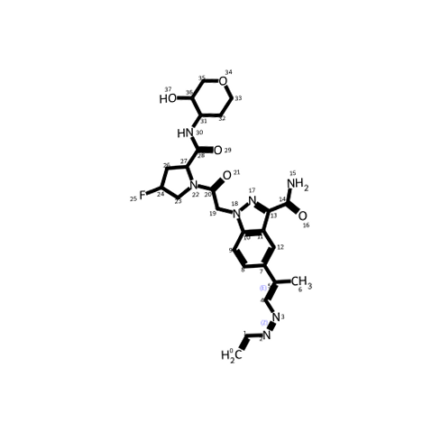 C=C/N=N\C=C(/C)c1ccc2c(c1)c(C(N)=O)nn2CC(=O)N1CC(F)CC1C(=O)NC1CCOCC1O